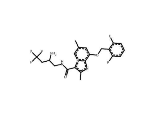 Cc1cc(OCc2c(F)cccc2F)c2nc(C)c(C(=O)NCC(N)CC(F)(F)F)n2c1